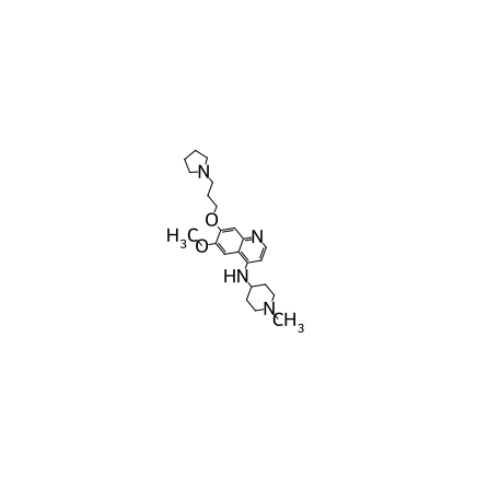 COc1cc2c(NC3CCN(C)CC3)ccnc2cc1OCCCN1CCCC1